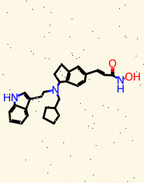 O=C(/C=C/c1ccc2c(c1)CCC2N(CCc1c[nH]c2ccccc12)CC1CCCC1)NO